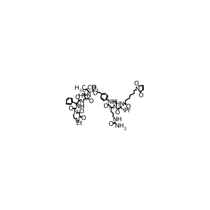 CCN1CCN(C(=O)N[C@@H](C(=O)N[C@@H]2C(=O)N3[C@@H]2SC(C)(C)[C@@H]3C(=O)OCc2ccc(NC(=O)[C@H](CCCNC(N)=O)NC(=O)[C@@H](NC(=O)CCCCCN3C(=O)C=CC3=O)C(C)C)cc2)c2ccccc2)C(=O)C1=O